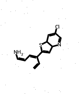 C=C/C(=C\C=C/N)C1=CC2N=CC(Cl)=CC2S1